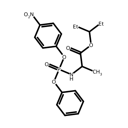 CCC(CC)OC(=O)C(C)NP(=O)(Oc1ccccc1)Oc1ccc([N+](=O)[O-])cc1